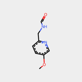 COc1ccc(CNC=O)nc1